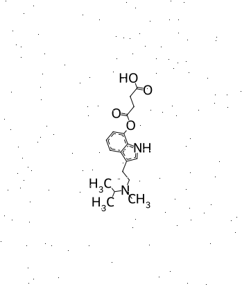 CC(C)N(C)CCc1c[nH]c2c(OC(=O)CCC(=O)O)cccc12